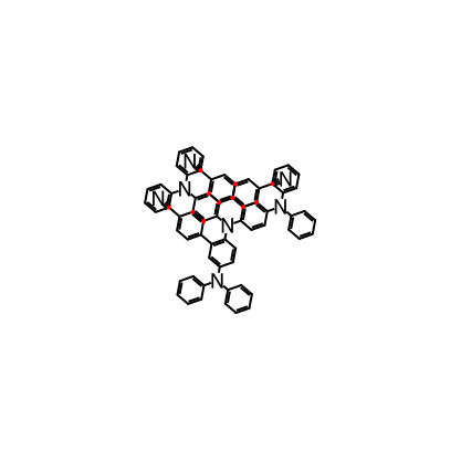 N#Cc1ccc(-c2cc(N(c3ccccc3)c3ccccc3)ccc2N(c2ccc(N(c3ccccc3)c3ccccc3)cc2-c2ccc(C#N)cc2)c2ccc(N(c3ccccc3)c3ccccc3)cc2-c2ccc(C#N)cc2)cc1